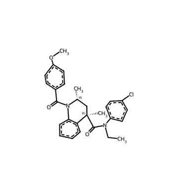 CCN(C(=O)[C@]1(C)C[C@@H](C)N(C(=O)c2ccc(OC)cc2)c2ccccc21)c1ccc(Cl)cc1